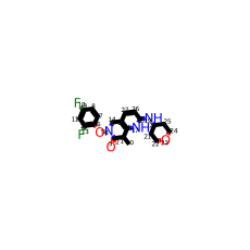 CC1C(=O)N(Oc2ccc(F)cc2F)CC2=C1NC(NC1CCOCC1)C=C2